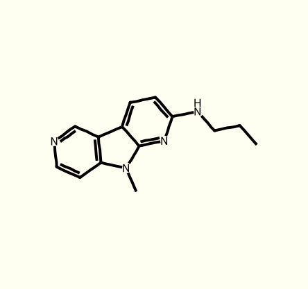 CCCNc1ccc2c3cnccc3n(C)c2n1